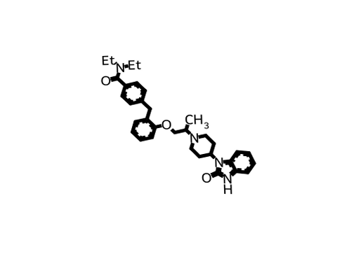 CCN(CC)C(=O)c1ccc(Cc2ccccc2OCC(C)N2CCC(n3c(=O)[nH]c4ccccc43)CC2)cc1